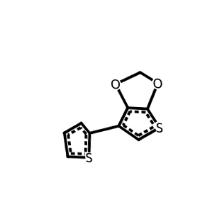 c1csc(-c2csc3c2OCO3)c1